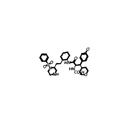 O=C(O)N[C@H](C(=O)N[C@H]1CCCC[C@@H]1CC[C@H]1CNCCN1S(=O)(=O)c1ccccc1)[C@@H](c1ccc(Cl)cc1)C1CCOCC1